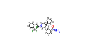 NC(=O)c1ccccc1CC1(c2ccccc2)CCN(C=Cc2ccccc2C(F)(F)F)CC1